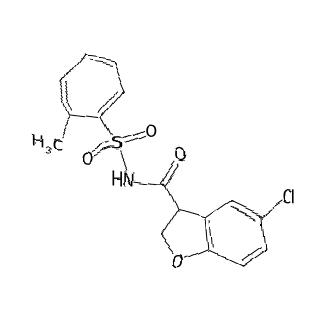 Cc1ccccc1S(=O)(=O)NC(=O)C1COc2ccc(Cl)cc21